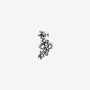 Cc1cc(C(=O)Nc2nc3cccc(Cl)c3n2C2CCCCN(C(=O)/C=C/CNC3(C)CC3)C2)ccn1